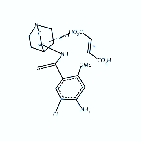 COc1cc(N)c(Cl)cc1C(=S)N[C@@H]1CN2CCC1CC2.O=C(O)/C=C/C(=O)O